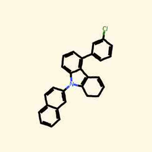 Clc1cccc(-c2cccc3c2c2c(n3-c3ccc4ccccc4c3)CCC=C2)c1